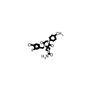 CC1CCC(N2CC(=O)N(Cc3ccc(Cl)c(F)c3)C3(CN(C(N)=O)C3)C2=O)CC1